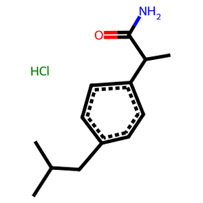 CC(C)Cc1ccc(C(C)C(N)=O)cc1.Cl